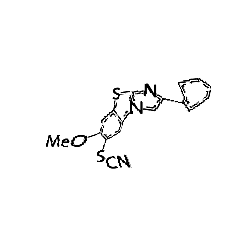 COc1cc2sc3nc(-c4ccccc4)cn3c2cc1SC#N